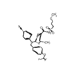 COCCCS(=O)(=O)NC(=O)c1nc(N(Cc2ccc(OC(F)F)cc2)c2ccc(C#N)cc2)sc1C